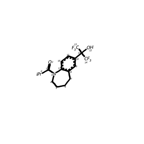 CC(C)C(=O)N1CCCCc2cc(C(O)(C(F)(F)F)C(F)(F)F)ccc21